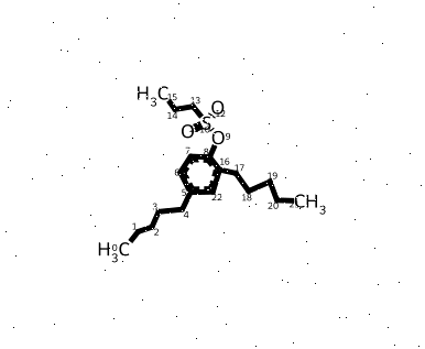 CCCCCc1ccc(OS(=O)(=O)CCC)c(CCCCC)c1